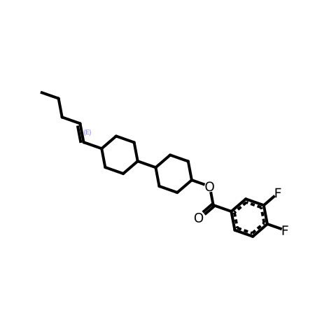 CCC/C=C/C1CCC(C2CCC(OC(=O)c3ccc(F)c(F)c3)CC2)CC1